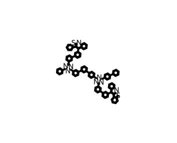 c1ccc(-c2ccc(-c3nc(-c4ccc(-c5cccc(-c6cccc(-c7nc(-c8ccccc8)nc(-c8cccc(-c9cccc(-c%10c%11ccccc%11nc%11sc%12ccccc%12c%10%11)c9)c8)n7)c6)c5)cc4)nc(-c4cccc(-c5cccc(-c6c7ccccc7nc7sc8ccccc8c67)c5)c4)n3)cc2)cc1